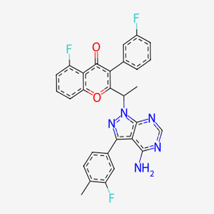 Cc1ccc(-c2nn(C(C)c3oc4cccc(F)c4c(=O)c3-c3cccc(F)c3)c3ncnc(N)c23)cc1F